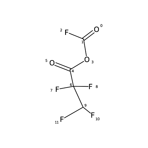 O=C(F)OC(=O)C(F)(F)C(F)F